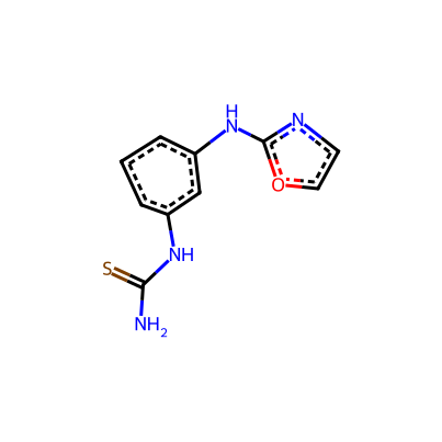 NC(=S)Nc1cccc(Nc2ncco2)c1